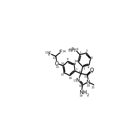 CCCc1cccc(C2(c3ccc(OC(F)F)cc3)N=C(N)N(C)C2=O)c1